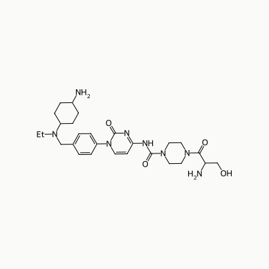 CCN(Cc1ccc(-n2ccc(NC(=O)N3CCN(C(=O)C(N)CO)CC3)nc2=O)cc1)C1CCC(N)CC1